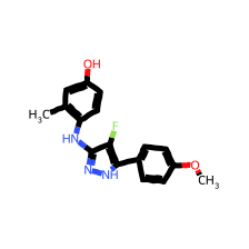 COc1ccc(-c2[nH]nc(Nc3ccc(O)cc3C)c2F)cc1